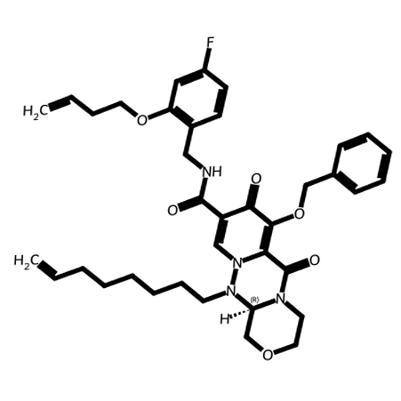 C=CCCCCCCN1[C@@H]2COCCN2C(=O)c2c(OCc3ccccc3)c(=O)c(C(=O)NCc3ccc(F)cc3OCCC=C)cn21